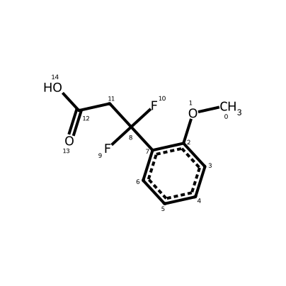 COc1ccccc1C(F)(F)CC(=O)O